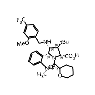 COc1cc(C(F)(F)F)ccc1CN[C@@H]1[C@@H](C(C)(C)C)[C@H](C(=O)O)N(C(=O)C2CCCCO2)[C@@H]1c1ccccc1N(C)C